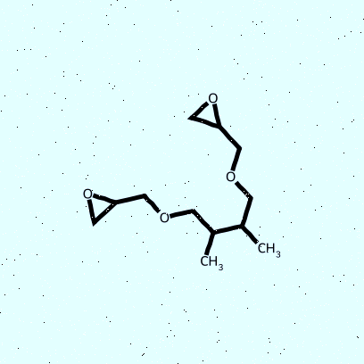 CC(COCC1CO1)C(C)COCC1CO1